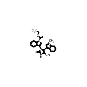 Cn1cc(-c2c(C#N)[nH]c(=O)n2-c2cn(C(=O)OCC(Cl)(Cl)Cl)c3ccccc23)c2ccccc21